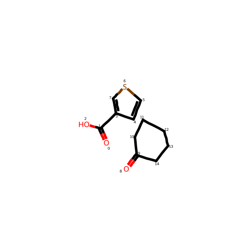 O=C(O)c1ccsc1.O=C1CCCCC1